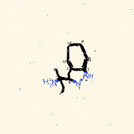 CC(C)(N)c1n[nH]c2ccccc12